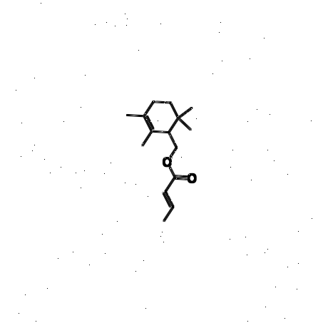 CC=CC(=O)OCC1C(C)=C(C)CCC1(C)C